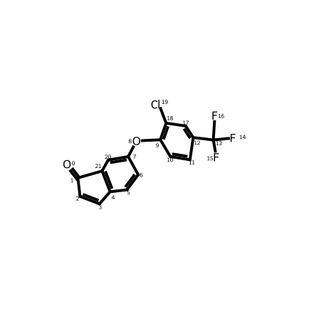 O=C1C=Cc2ccc(Oc3ccc(C(F)(F)F)cc3Cl)cc21